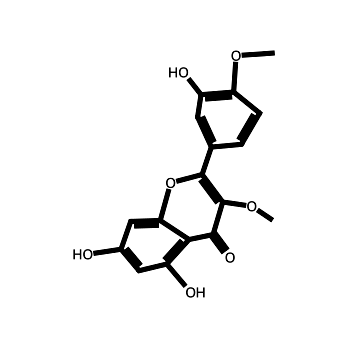 COc1ccc(-c2oc3cc(O)cc(O)c3c(=O)c2OC)cc1O